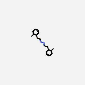 Cc1ccccc1C/C=N/N=C/Cc1ccccc1C